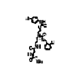 CCc1ccc(NC(=O)OCCN(CCCNC(=O)CNC(=O)OC(C)(C)C)C(=O)NCc2ccccc2Cl)cc1